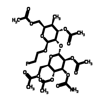 CC(=O)OC[C@@H]1O[C@H](OCCF)[C@@H](O[C@H]2O[C@H](COC(C)=O)[C@@H](OC(C)=O)[C@H](OC(N)=O)[C@@H]2OC(C)=O)[C@@H](OC(C)=O)[C@@H]1C